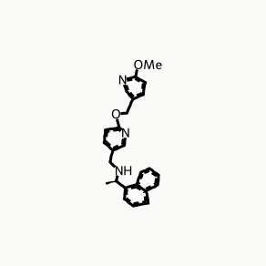 COc1ccc(COc2ccc(CN[C@H](C)c3cccc4ccccc34)cn2)cn1